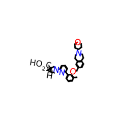 Cc1cccc(-c2cccc(N3C[C@@H]4C[C@]4(C(=O)O)C3)n2)c1OCc1ccc2c(c1)CCN(C1CCOCC1)CC2